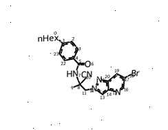 CCCCCCc1ccc(C(=O)NC(C)(C#N)Cn2cc3ncc(Br)cc3n2)cc1